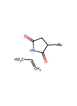 C=CC(=O)O.CCCCC1CC(=O)NC1=O